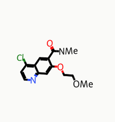 CNC(=O)c1cc2c(Cl)ccnc2cc1OCCOC